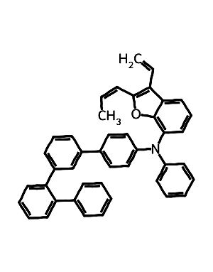 C=Cc1c(/C=C\C)oc2c(N(c3ccccc3)c3ccc(-c4cccc(-c5ccccc5-c5ccccc5)c4)cc3)cccc12